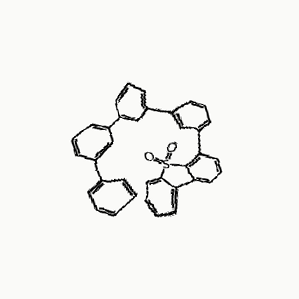 O=S1(=O)c2ccccc2-c2cccc(-c3cccc(-c4cccc(-c5cccc(-c6ccccc6)c5)c4)c3)c21